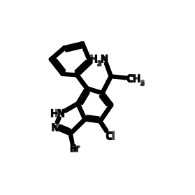 CC(N)c1cc(Cl)c2c(Br)n[nH]c2c1-c1ccccc1